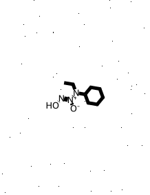 CCN(C1CCCCC1)[N+]([O-])=NO